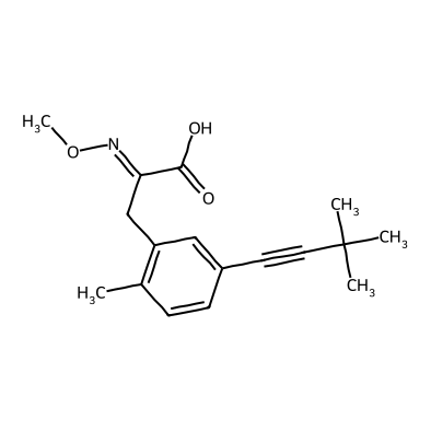 CO/N=C(\Cc1cc(C#CC(C)(C)C)ccc1C)C(=O)O